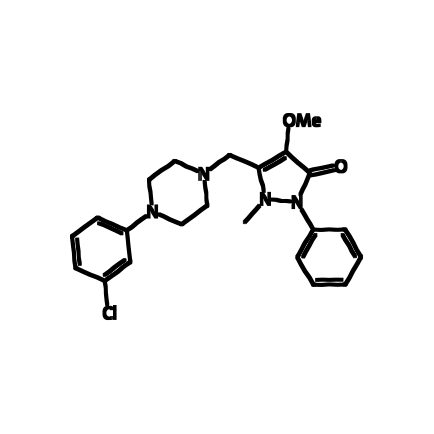 COc1c(CN2CCN(c3cccc(Cl)c3)CC2)n(C)n(-c2ccccc2)c1=O